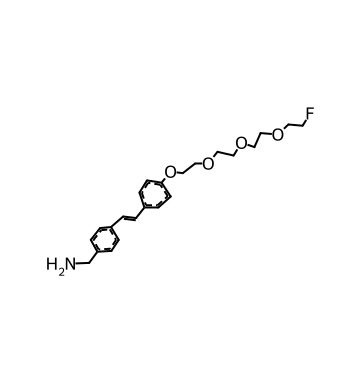 NCc1ccc(C=Cc2ccc(OCCOCCOCCOCCF)cc2)cc1